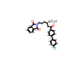 O=C(C[C@H](CCCN1C(=O)c2ccccc2C1=O)C(=O)O)c1ccc(-c2ccc(Cl)cc2)cc1